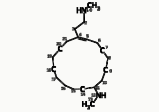 CNCC/C1=C/CCCCCC(NC)CCCCCCCC1